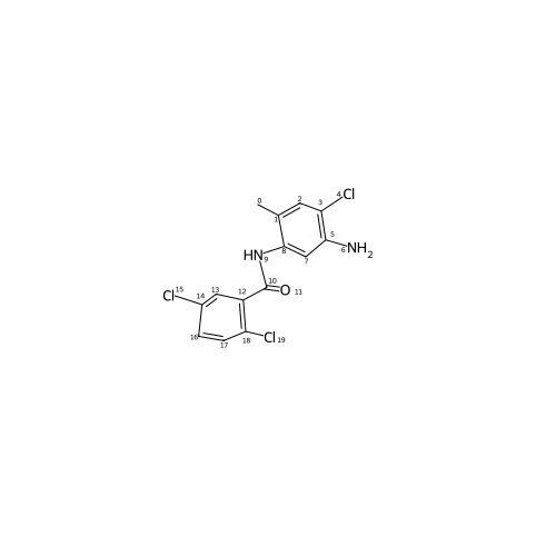 Cc1cc(Cl)c(N)cc1NC(=O)c1cc(Cl)ccc1Cl